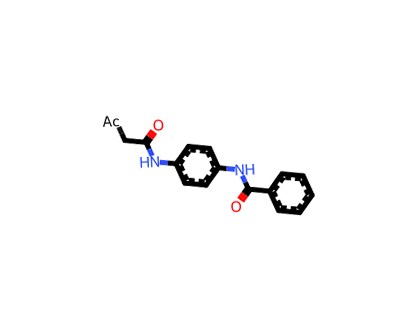 CC(=O)CC(=O)Nc1ccc(NC(=O)c2ccccc2)cc1